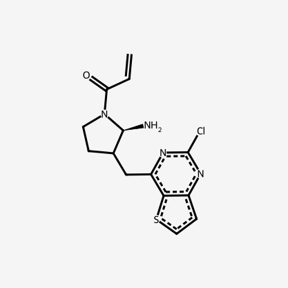 C=CC(=O)N1CCC(Cc2nc(Cl)nc3ccsc23)[C@@H]1N